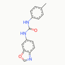 Cc1ccc(NC(=O)Nc2ccc3ncoc3c2)cc1